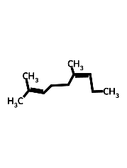 CCC=C(C)CCC=C(C)C